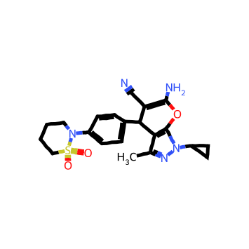 Cc1nn(C2CC2)c2c1C(c1ccc(N3CCCCS3(=O)=O)cc1)C(C#N)=C(N)O2